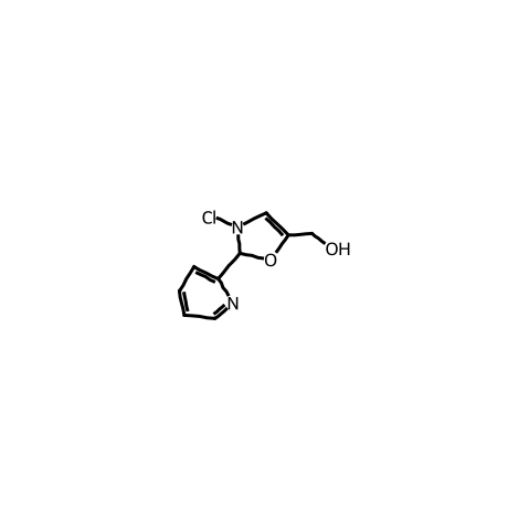 OCC1=CN(Cl)C(c2ccccn2)O1